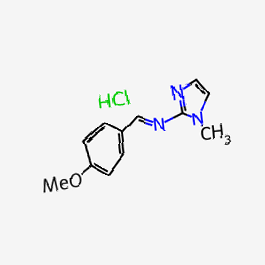 COc1ccc(C=Nc2nccn2C)cc1.Cl